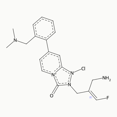 CN(C)Cc1ccccc1-c1cc[n+]2c(=O)n(C/C(=C/F)CN)n(Cl)c2c1